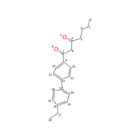 CCCCC(=O)CC(=O)c1ccc(-c2ccc(CC)cc2)cc1